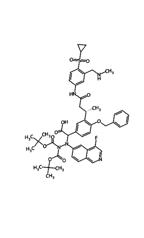 CNCc1cc(NC(=O)C[C@H](C)c2cc(C(C(=O)O)N(c3ccc4cncc(F)c4c3)N(C(=O)OC(C)(C)C)C(=O)OC(C)(C)C)ccc2OCc2ccccc2)ccc1S(=O)(=O)C1CC1